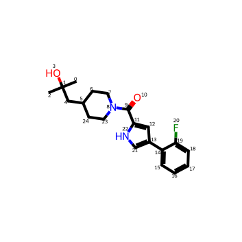 CC(C)(O)CC1CCN(C(=O)c2cc(-c3ccccc3F)c[nH]2)CC1